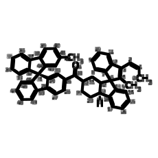 C/C=C\C1=C(C)C2(c3ccccc31)c1ccccc1[C@H]1CCC(C(=O)c3ccc4c(c3)[C@]3(c5ccccc5-c5ccc(C)cc53)c3ccccc3-4)CC12